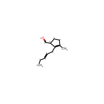 CCC=CCC1=C(C)CCC1C=O